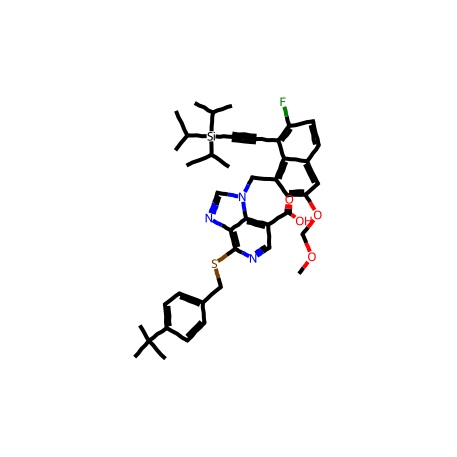 COCOc1cc(Cn2cnc3c(SCc4ccc(C(C)(C)C)cc4)ncc(C(=O)O)c32)c2c(C#C[Si](C(C)C)(C(C)C)C(C)C)c(F)ccc2c1